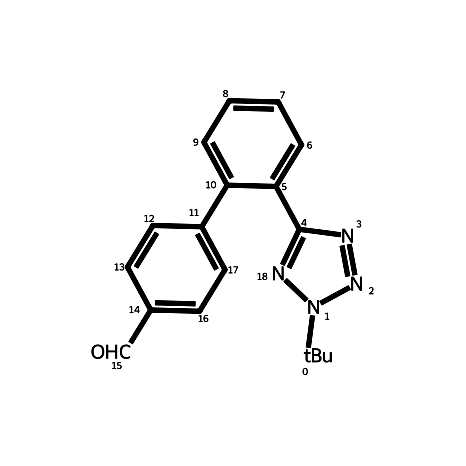 CC(C)(C)n1nnc(-c2ccccc2-c2ccc(C=O)cc2)n1